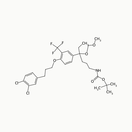 CCC(CCCNC(=O)OC(C)(C)C)(OCOC)c1ccc(OCCCc2ccc(Cl)c(Cl)c2)c(C(F)(F)F)c1